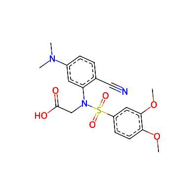 COc1ccc(S(=O)(=O)N(CC(=O)O)c2cc(N(C)C)ccc2C#N)cc1OC